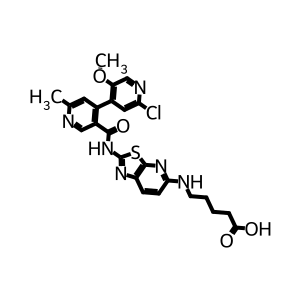 COc1cnc(Cl)cc1-c1cc(C)ncc1C(=O)Nc1nc2ccc(NCCCCC(=O)O)nc2s1